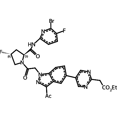 CCOC(=O)Cc1ncc(-c2ccc3c(c2)c(C(C)=O)nn3CC(=O)N2C[C@H](F)C[C@H]2C(=O)Nc2ccc(F)c(Br)n2)cn1